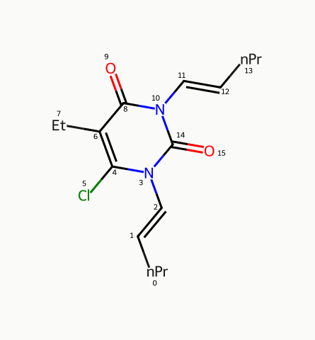 CCC/C=C/n1c(Cl)c(CC)c(=O)n(/C=C/CCC)c1=O